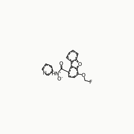 O=C(c1ccc(OCF)c2oc3ccccc3c12)[NH+]([O-])c1cccnc1